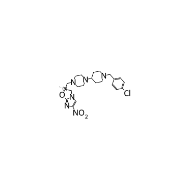 C[C@]1(CN2CCN(C3CCN(Cc4ccc(Cl)cc4)CC3)CC2)Cn2cc([N+](=O)[O-])nc2O1